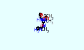 CC(C)S(=O)(=O)N(C)c1cc(-c2nnc([C@](C)(N)Cc3ccccc3)o2)cc(NCCc2ccco2)n1